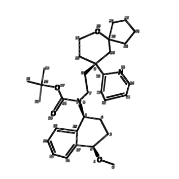 CO[C@@H]1CC[C@H](N(CC[C@@]2(c3ccccn3)CCOC3(CCCC3)C2)C(=O)OC(C)(C)C)c2ccccc21